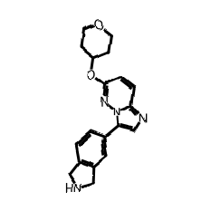 c1cc2c(cc1-c1cnc3ccc(OC4CCOCC4)nn13)CNC2